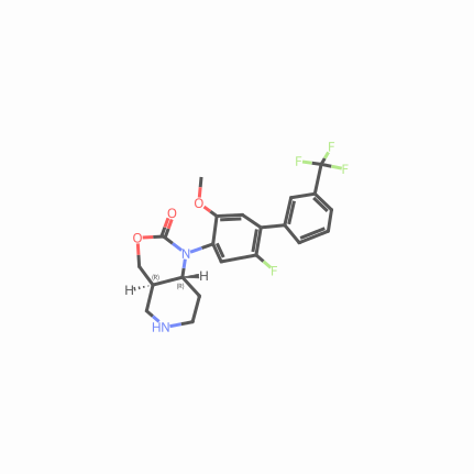 COc1cc(-c2cccc(C(F)(F)F)c2)c(F)cc1N1C(=O)OC[C@@H]2CNCC[C@H]21